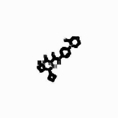 NC(=O)[C@@H](NC(C1CCC1)C1CCC1)C(=O)Nc1ccc(N2CCOCC2=O)cc1